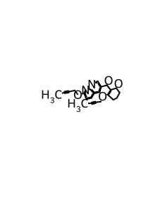 CC#CCOC1=C(C(=O)c2cnc3nc(OCC#CC)ccc3c2)C(=O)CCC1